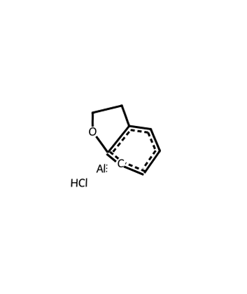 Cl.[Al].c1ccc2c(c1)CCO2